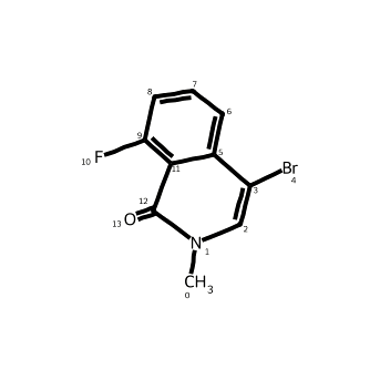 Cn1cc(Br)c2cccc(F)c2c1=O